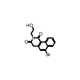 O=C1Cc2cc(Br)c3ccccc3c2C(=O)N1CCO